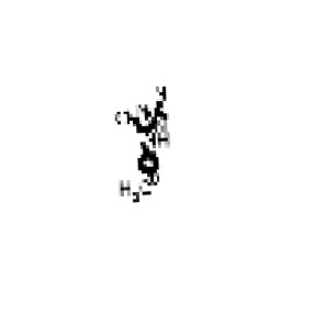 COc1ccc(CNc2cc(Cl)nn3c(C#N)cnc23)cc1